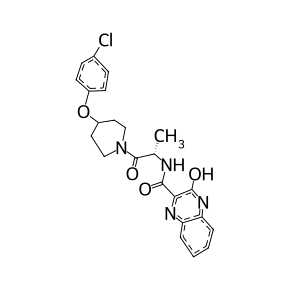 C[C@H](NC(=O)c1nc2ccccc2nc1O)C(=O)N1CCC(Oc2ccc(Cl)cc2)CC1